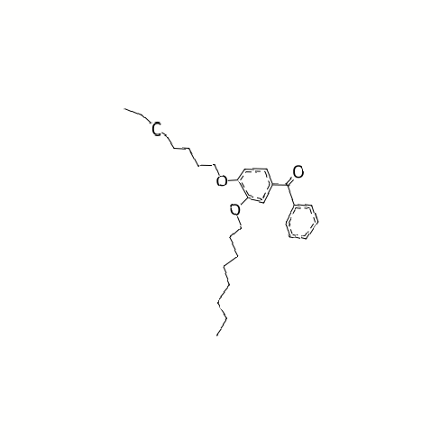 CCCCCCCCOc1ccc(C(=O)c2ccccc2)cc1OCCCCCCCC